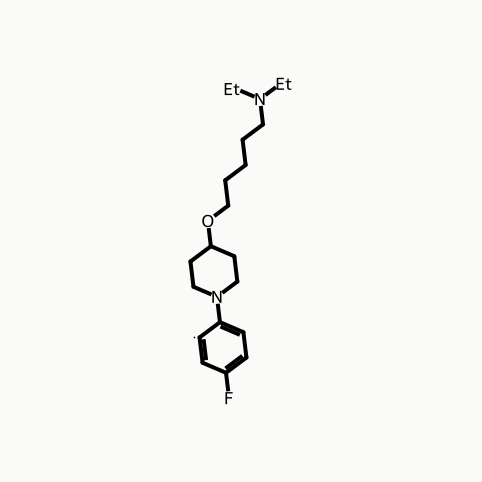 CCN(CC)CCCCCOC1CCN(c2[c]cc(F)cc2)CC1